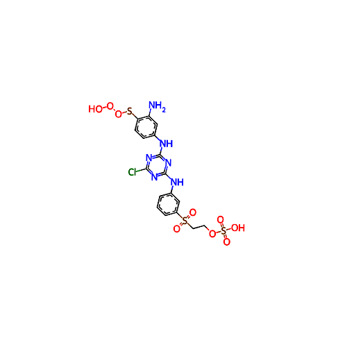 Nc1cc(Nc2nc(Cl)nc(Nc3cccc(S(=O)(=O)CCOS(=O)(=O)O)c3)n2)ccc1SOOO